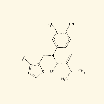 CCC(C(=O)N(C)C)N(Cc1sccc1C)c1ccc(C#N)c(C(F)(F)F)c1